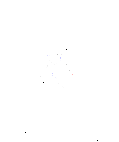 COCCCN1CCNCC1.[CH2]CCN1CCOCC1